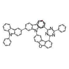 c1ccc(-c2nc(-c3ccccc3)nc(-c3cccc4oc5ccc(-n6c7ccccc7c7ccc(-c8ccc9c(c8)c8ccccc8n9-c8ccccc8)cc76)cc5c34)n2)cc1